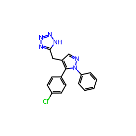 Clc1ccc(-c2c(Cc3nnn[nH]3)cnn2-c2ccccc2)cc1